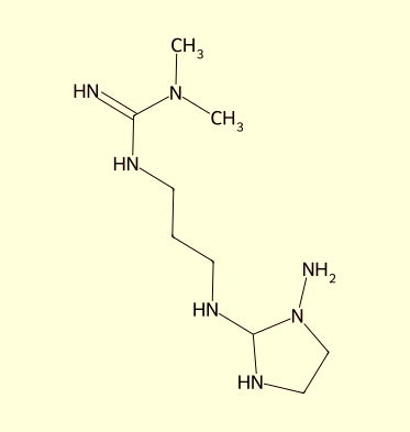 CN(C)C(=N)NCCCNC1NCCN1N